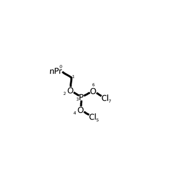 CCCCOP(OCl)OCl